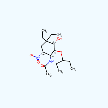 CCC(CC)O[C@H]1[C@H](NC(C)=O)[C@H]([N+](=O)[O-])CC(CC)(CC)[C@@H]1O